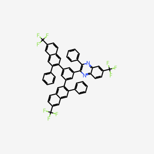 FC(F)(F)c1ccc2cc(-c3cc(-c4cc5ccc(C(F)(F)F)cc5cc4-c4ccccc4)cc(-c4nc5ccc(C(F)(F)F)cc5nc4-c4ccccc4)c3)c(-c3ccccc3)cc2c1